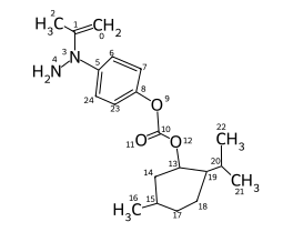 C=C(C)N(N)c1ccc(OC(=O)OC2CC(C)CCC2C(C)C)cc1